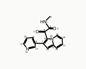 CNC(=O)C(=O)c1c(-c2cccnc2)cc2ccccn12